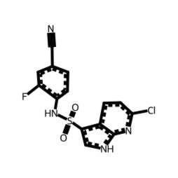 N#Cc1ccc(NS(=O)(=O)c2c[nH]c3nc(Cl)ccc23)c(F)c1